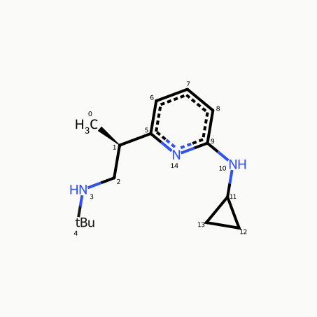 C[C@H](CNC(C)(C)C)c1cccc(NC2CC2)n1